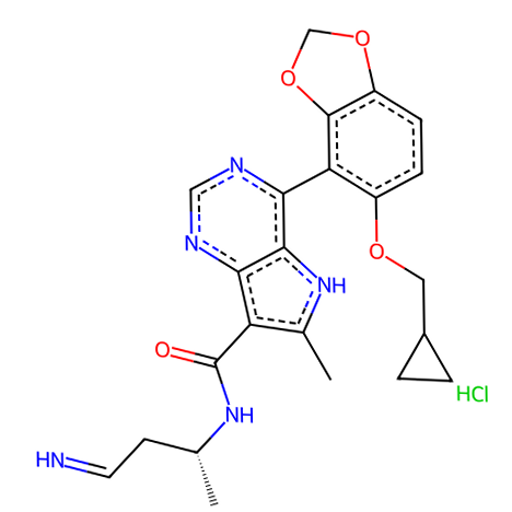 Cc1[nH]c2c(-c3c(OCC4CC4)ccc4c3OCO4)ncnc2c1C(=O)N[C@H](C)CC=N.Cl